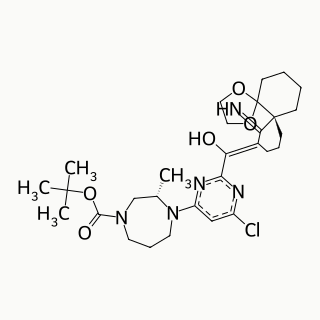 C[C@H]1CN(C(=O)OC(C)(C)C)CCCN1c1cc(Cl)nc(/C(O)=C2\CCC[C@@]3(CCCCC34OCCO4)C2=N)n1